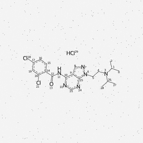 CC(C)N(CCn1ncc2c(NC(=O)c3ccc(Cl)cc3Cl)ncnc21)C(C)C.Cl